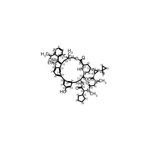 CCn1c(-c2cccnc2[C@H](C)OC)c2c3cc(ccc31)-c1cc(O)cc(c1)C[C@H](NC(=O)[C@H](C1CCCC1)N(C)C(=O)CN(C)C(=O)[C@H]1N[C@H]1C1(F)CC1)C(=O)N1CCC[C@H](N1)C(=O)OCC(C)(C)C2